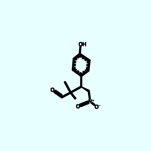 CC(C)(C=O)[C@H](C[N+](=O)[O-])c1ccc(O)cc1